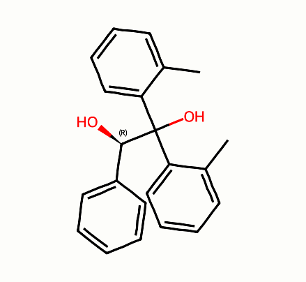 Cc1ccccc1C(O)(c1ccccc1C)[C@H](O)c1ccccc1